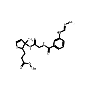 CC(C)(C)OC(=O)CCC1SC=CC1(C)NC(=O)CNC(=O)c1cccc(NC=NN)c1